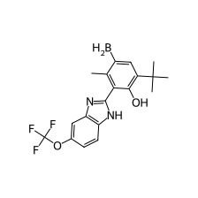 Bc1cc(C(C)(C)C)c(O)c(-c2nc3cc(OC(F)(F)F)ccc3[nH]2)c1C